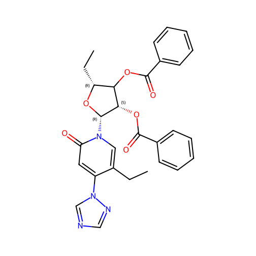 CCc1cn([C@@H]2O[C@H](CC)C(OC(=O)c3ccccc3)[C@@H]2OC(=O)c2ccccc2)c(=O)cc1-n1cncn1